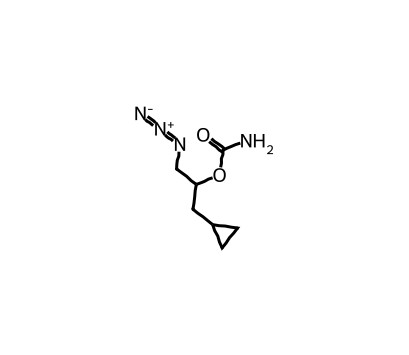 [N-]=[N+]=NCC(CC1CC1)OC(N)=O